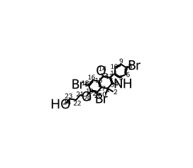 CC1(C)c2[nH]c3cc(Br)ccc3c2C(=O)c2cc(Br)c(OCCCO)c(Br)c21